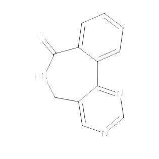 O=C1NCc2cncnc2-c2ccccc21